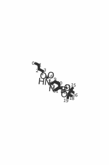 CCCCOC(=O)Nc1ccc(B2OC(C)(C)C(C)(C)O2)cn1